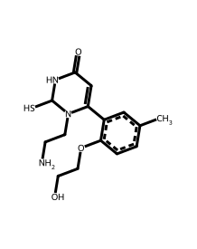 Cc1ccc(OCCO)c(C2=CC(=O)NC(S)N2CCN)c1